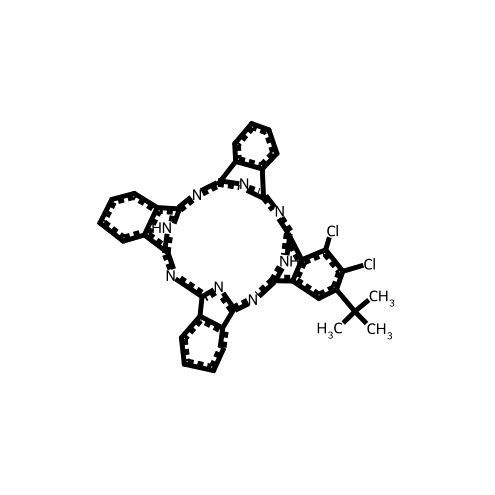 CC(C)(C)c1cc2c3nc4nc(nc5[nH]c(nc6nc(nc([nH]3)c2c(Cl)c1Cl)-c1ccccc1-6)c1ccccc51)-c1ccccc1-4